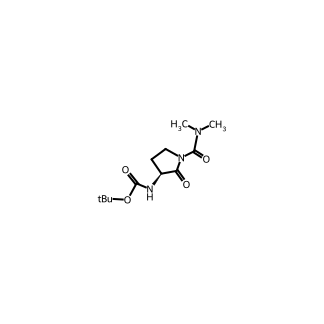 CN(C)C(=O)N1CC[C@H](NC(=O)OC(C)(C)C)C1=O